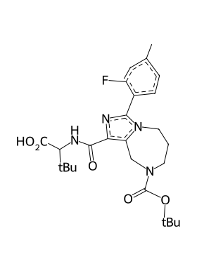 Cc1ccc(-c2nc(C(=O)NC(C(=O)O)C(C)(C)C)c3n2CCCN(C(=O)OC(C)(C)C)C3)c(F)c1